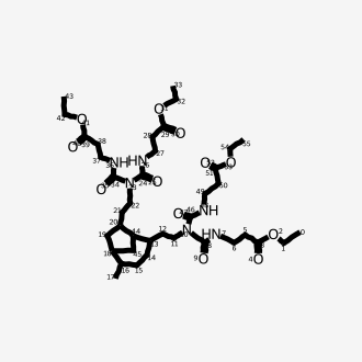 CCOC(=O)CCNC(=O)N(CCC1CCC(C)C2CC(CCN(C(=O)NCCC(=O)OCC)C(=O)NCCC(=O)OCC)C1C2)C(=O)NCCC(=O)OCC